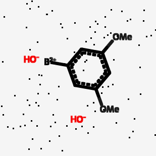 [B+2]c1cc(OC)cc(OC)c1.[OH-].[OH-]